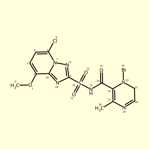 COc1ccc(Cl)n2nc(S(=O)(=O)NC(=O)C3=C(C)N=CCN3Br)nc12